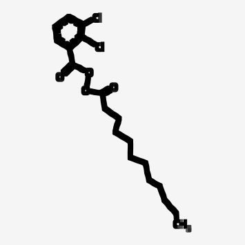 CCCCCCCCCCCC(=O)OOC(=O)c1cccc(Cl)c1Cl